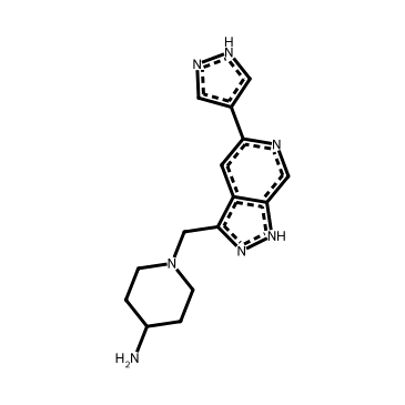 NC1CCN(Cc2n[nH]c3cnc(-c4cn[nH]c4)cc23)CC1